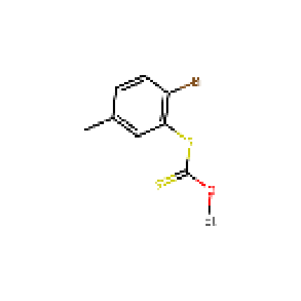 CCOC(=S)Sc1cc(C)ccc1Br